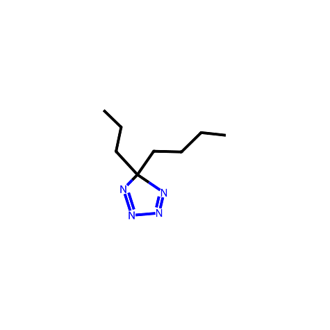 CCCCC1(CCC)N=NN=N1